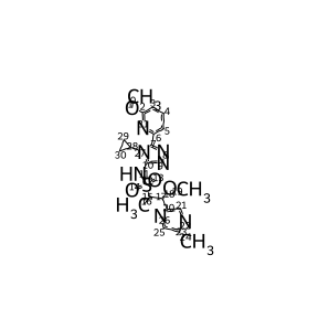 COc1cccc(-c2nnc(NS(=O)(=O)C(C)C(OC)c3cnc(C)cn3)n2C2CC2)n1